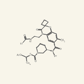 CCC(=O)NCCN1C(=O)C2(CCC2)Oc2cc(C)c(C(=O)N(C(C)C)[C@@H]3CCCN(C(=O)OC(C)OC(C)=O)C3)cc21